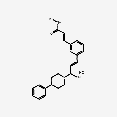 Cl.O=C(/C=C/c1cccc(/C=C/C(O)N2CCC(c3ccccc3)CC2)n1)NO